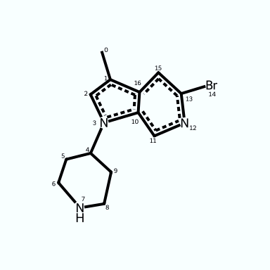 Cc1cn(C2CCNCC2)c2cnc(Br)cc12